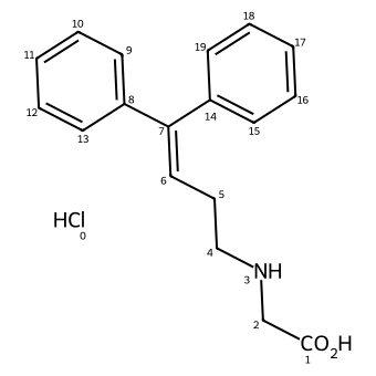 Cl.O=C(O)CNCCC=C(c1ccccc1)c1ccccc1